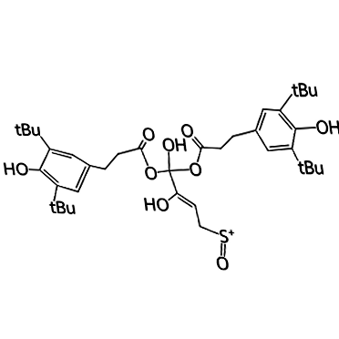 CC(C)(C)c1cc(CCC(=O)OC(O)(OC(=O)CCc2cc(C(C)(C)C)c(O)c(C(C)(C)C)c2)C(O)=CC[S+]=O)cc(C(C)(C)C)c1O